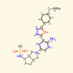 CCS(=O)(=O)NC1CCC2CN(c3cnc(N)c(-c4nnc(-c5ccc(CNC)cc5)o4)n3)CC21